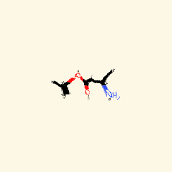 CC(N)CC(=O)OC(C)C